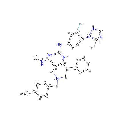 CCNc1nc(Nc2ccc(-n3ncnc3C)c(F)c2)nc2c1CN(Cc1ccc(OC)cc1)CC2c1ccccc1